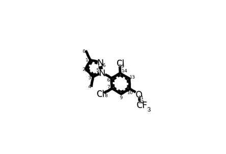 Cc1[c]c(C)n(-c2c(Cl)cc(OC(F)(F)F)cc2Cl)n1